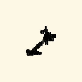 C#Cc1ccc(CNC(=O)[C@@H]2C[C@@H](O)CN2C(=O)[C@@H](NC(=O)[C@H]2CC3(C2)C[C@H](N2CCC(N4CCC(N5CCN(c6cc(-c7ccccc7O)nnc6NC)[C@@H](C)C5)CC4)CC2)C3)C(C)(C)C)c(Cl)c1